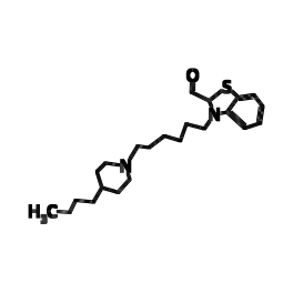 CCCCC1CCN(CCCCCCN2c3ccccc3SC2C=O)CC1